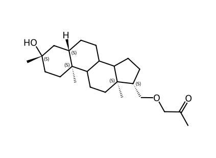 CC(=O)COC[C@H]1CCC2C3CC[C@H]4C[C@@](C)(O)CC[C@]4(C)C3CC[C@@]21C